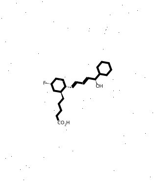 O=C(O)CCCC[C@H]1C[C@H](F)CC[C@@H]1/C=C/C=C/[C@@H](O)C1CCCCC1